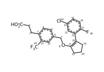 O=C(O)CCc1ccc(COC2=C(c3cc(Cl)ccc3F)CCC2)cc1C(F)(F)F